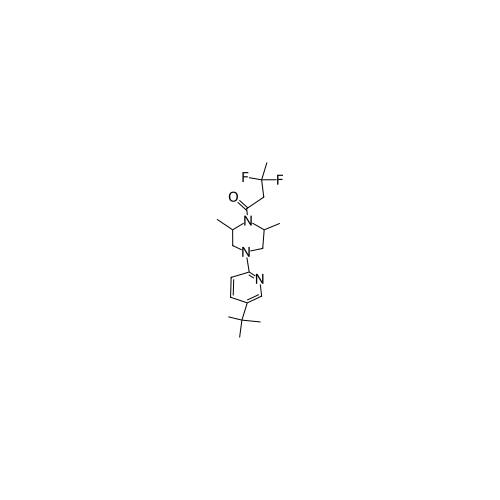 CC1CN(c2ccc(C(C)(C)C)cn2)CC(C)N1C(=O)CC(C)(F)F